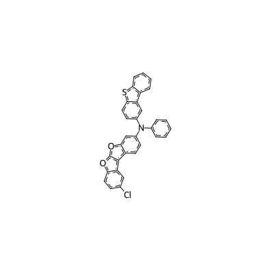 Clc1ccc2oc3oc4cc(N(c5ccccc5)c5ccc6sc7ccccc7c6c5)ccc4c3c2c1